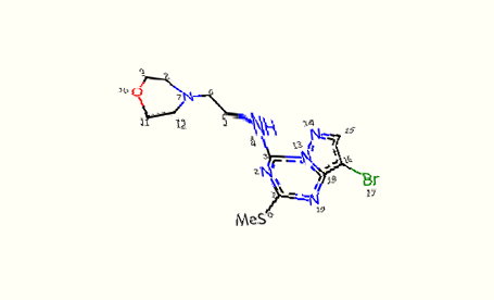 CSc1nc(NCCN2CCOCC2)n2ncc(Br)c2n1